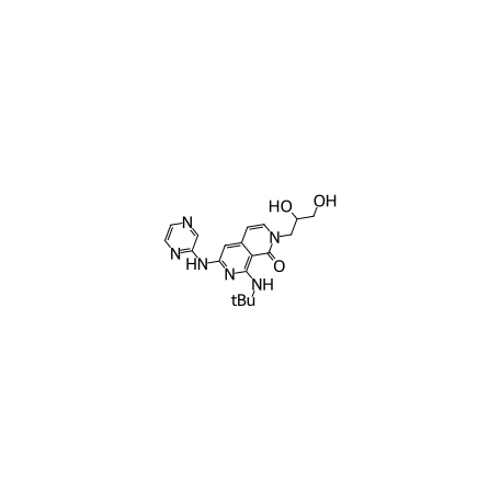 CC(C)(C)Nc1nc(Nc2cnccn2)cc2ccn(CC(O)CO)c(=O)c12